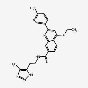 CCOc1cc(-c2ccc(C)nc2)nc2cc(C(=O)NCCc3[nH]nnc3C)ccc12